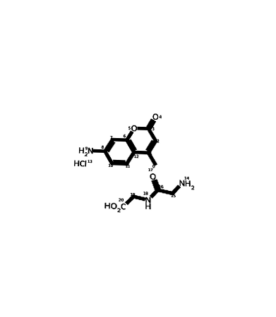 Cc1cc(=O)oc2cc(N)ccc12.Cl.NCC(=O)NCC(=O)O